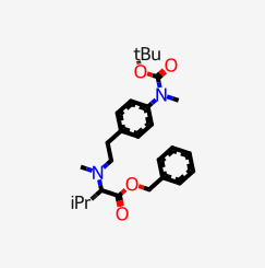 CC(C)C(C(=O)OCc1ccccc1)N(C)CCc1ccc(N(C)C(=O)OC(C)(C)C)cc1